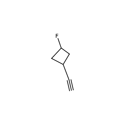 C#CC1CC(F)C1